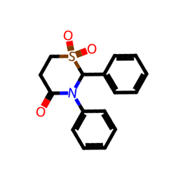 O=C1CCS(=O)(=O)C(c2ccccc2)N1c1ccccc1